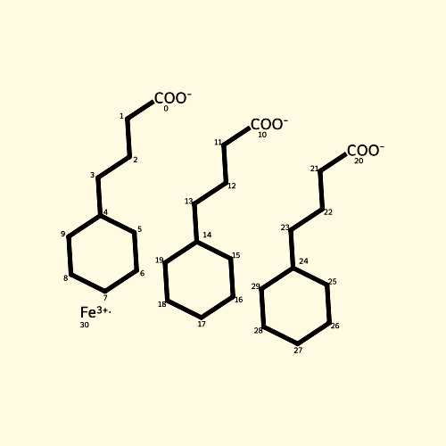 O=C([O-])CCCC1CCCCC1.O=C([O-])CCCC1CCCCC1.O=C([O-])CCCC1CCCCC1.[Fe+3]